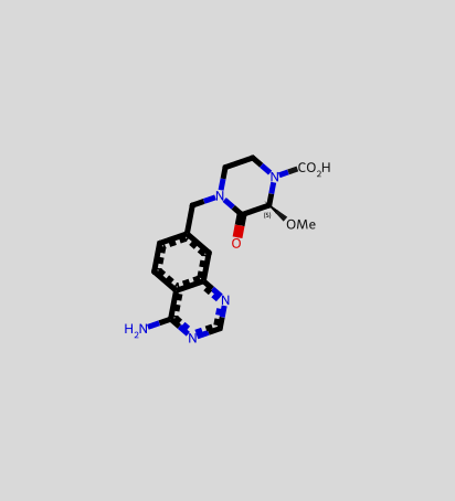 CO[C@H]1C(=O)N(Cc2ccc3c(N)ncnc3c2)CCN1C(=O)O